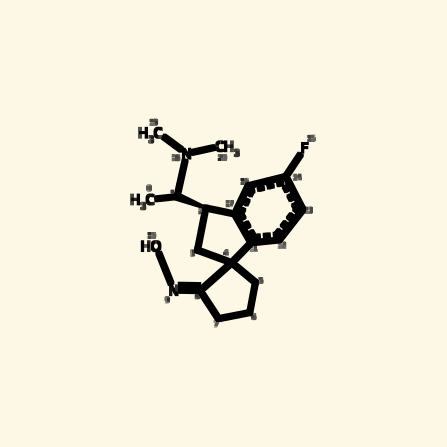 CC([C@@H]1CC2(CCC/C2=N/O)c2ccc(F)cc21)N(C)C